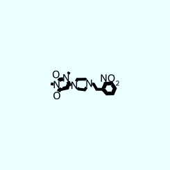 Cn1c(N2CCN(CCc3ccccc3[N+](=O)[O-])CC2)cc(=O)n(C)c1=O